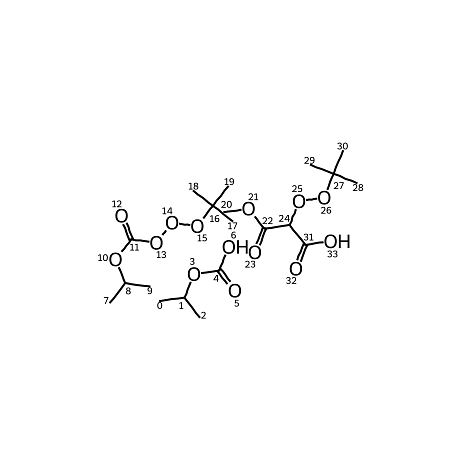 CC(C)OC(=O)O.CC(C)OC(=O)OOOC(C)(C)C.COC(=O)C(OOC(C)(C)C)C(=O)O